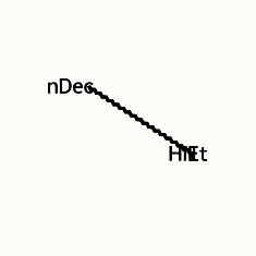 [CH2]CNCCCCCCCCCCCCCCCCCCCCCCCCCCCCCCCCCCCCCCCCCCCC